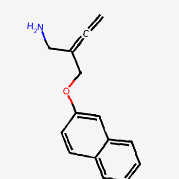 C=C=C(CN)COc1ccc2ccccc2c1